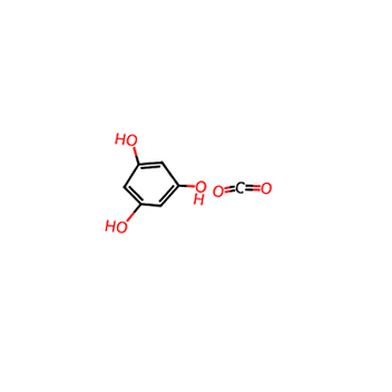 O=C=O.Oc1cc(O)cc(O)c1